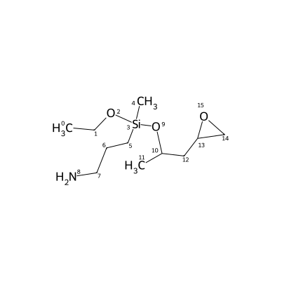 CCO[Si](C)(CCCN)OC(C)CC1CO1